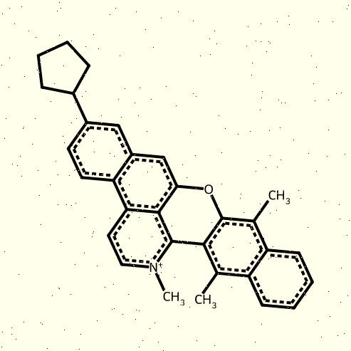 Cc1c2c(c(C)c3ccccc13)-c1c3c(cc4cc(C5CCCC5)ccc4c3cc[n+]1C)O2